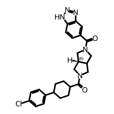 O=C(c1ccc2[nH]nnc2c1)N1CC2CN(C(=O)C3CCC(c4ccc(Cl)cc4)CC3)C[C@@H]2C1